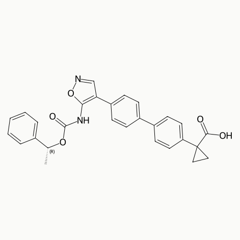 C[C@@H](OC(=O)Nc1oncc1-c1ccc(-c2ccc(C3(C(=O)O)CC3)cc2)cc1)c1ccccc1